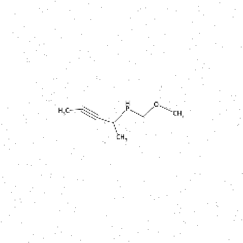 CC#CC(C)PCOC